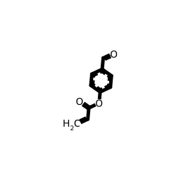 C=CC(=O)Oc1ccc(C=O)cc1